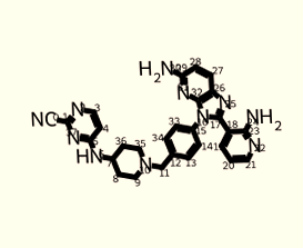 N#Cc1nccc(NC2CCN(Cc3ccc(-n4c(-c5cccnc5N)nc5ccc(N)nc54)cc3)CC2)n1